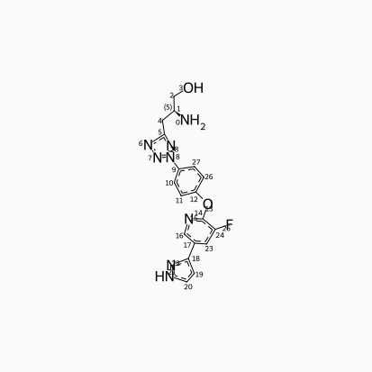 N[C@H](CO)Cc1nnn(-c2ccc(Oc3ncc(-c4cc[nH]n4)cc3F)cc2)n1